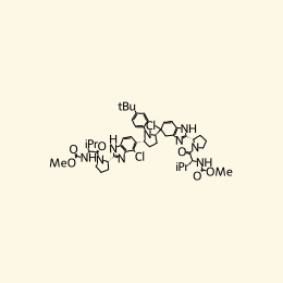 COC(=O)N[C@H](C(=O)N1CCC[C@H]1c1nc2c([nH]1)C=CC(Cl)([C@H]1CC[C@H](c3ccc4[nH]c([C@@H]5CCCN5C(=O)[C@@H](NC(=O)OC)C(C)C)nc4c3Cl)N1c1ccc(C(C)(C)C)cc1)C2)C(C)C